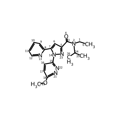 CCN(C(=O)c1cc(-c2ccccn2)n(-c2ccc(OC)nn2)n1)C(C)C